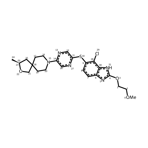 COCCOc1nc2ccc(Sc3cnc(N4CCC5(CC4)CO[C@@H](C)C5)cn3)c(Cl)c2[nH]1